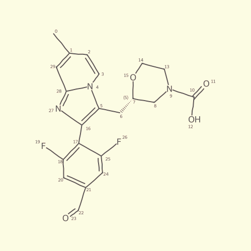 Cc1ccn2c(C[C@H]3CN(C(=O)O)CCO3)c(-c3c(F)cc(C=O)cc3F)nc2c1